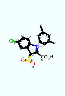 Cc1cccc(C)c1.O=C(O)C1=Nc2ccc(Cl)cc2C1=S(=O)=O